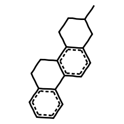 CC1CCc2c(ccc3c2CCc2ccccc2-3)C1